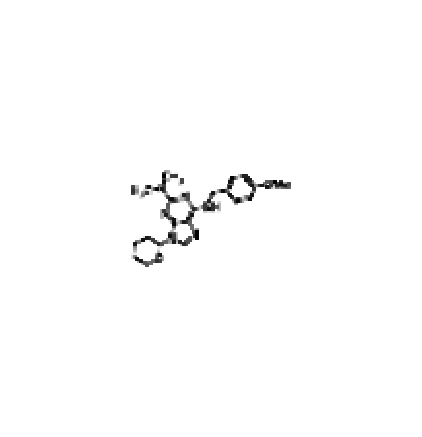 COc1ccc(CNc2nc(N(C)C)nc3c2ncn3C2CCCCO2)cc1